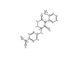 Cc1ccccc1N1C(=O)CCN(Cc2ccc([N+](=O)[O-])cc2)C1=O